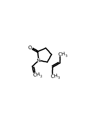 C=CN1CCCC1=O.CC=CC